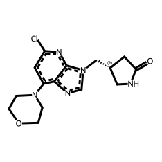 O=C1C[C@@H](Cn2cnc3c(N4CCOCC4)cc(Cl)nc32)CN1